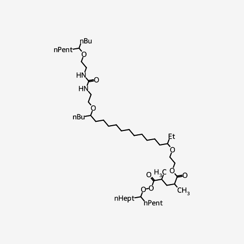 CCCCCCCC(CCCCC)OOC(=O)C(C)CC(C)C(=O)OCCOC(CC)CCCCCCCCCCCC(CCCC)OCCNC(=O)NCCOC(CCCC)CCCCC